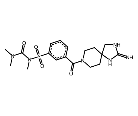 CN(C)C(=O)N(C)S(=O)(=O)c1cccc(C(=O)N2CCC3(CC2)CNC(=N)N3)c1